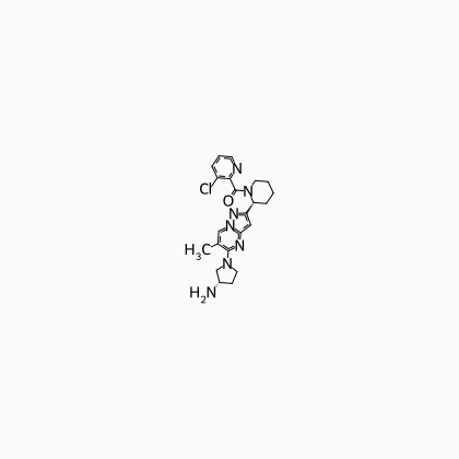 Cc1cn2nc([C@@H]3CCCCN3C(=O)c3ncccc3Cl)cc2nc1N1CC[C@H](N)C1